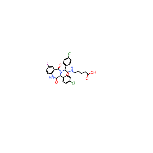 O=C(O)CCCCNC(=O)C(c1ccc(Cl)cc1)N1C(=O)c2cc(I)ccc2NC(=O)C1c1ccc(Cl)cc1